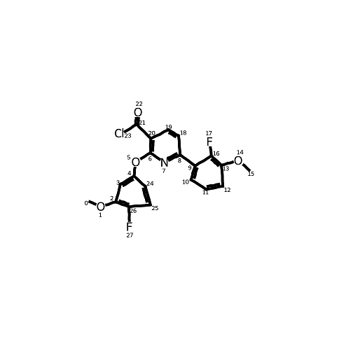 COc1cc(Oc2nc(-c3cccc(OC)c3F)ccc2C(=O)Cl)ccc1F